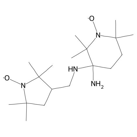 CC1(C)CC(CNC2(N)CCC(C)(C)N([O])C2(C)C)C(C)(C)N1[O]